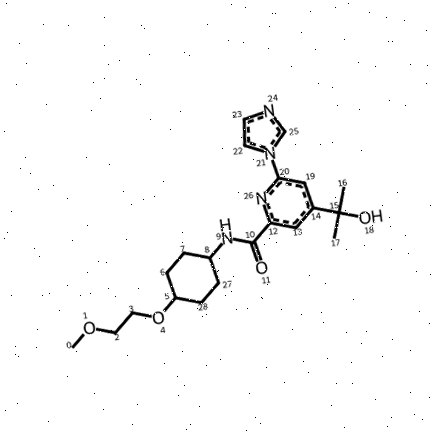 COCCOC1CCC(NC(=O)c2cc(C(C)(C)O)cc(-n3ccnc3)n2)CC1